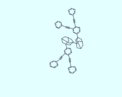 C(#Cc1ccc(C23CC4CC(C2)CC(C25CC6CC(CC(c7ccc(C#Cc8ccccc8)c(C#Cc8ccccc8)c7)(C6)C2)C5)(C4)C3)cc1C#Cc1ccccc1)c1ccccc1